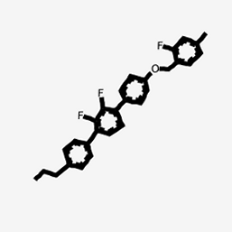 CCCc1ccc(-c2ccc(-c3ccc(OCc4ccc(C)cc4F)cc3)c(F)c2F)cc1